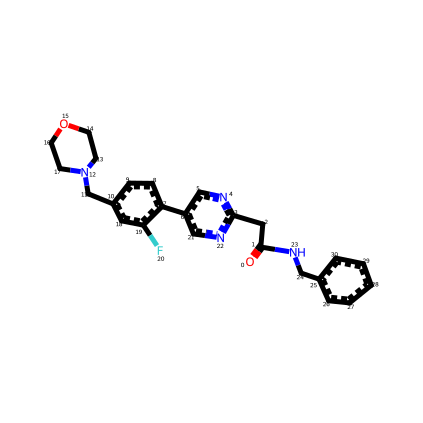 O=C(Cc1ncc(-c2ccc(CN3CCOCC3)cc2F)cn1)NCc1ccccc1